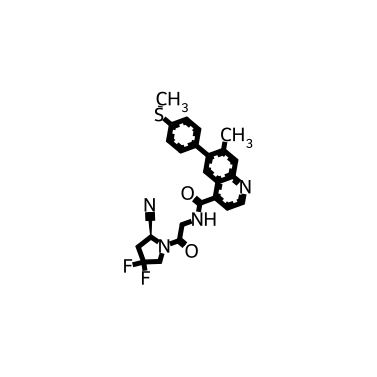 CSc1ccc(-c2cc3c(C(=O)NCC(=O)N4CC(F)(F)C[C@H]4C#N)ccnc3cc2C)cc1